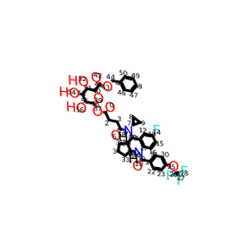 O=C(CCC(=O)N(C1CC1)[C@H]1c2cc(F)ccc2N(C(=O)c2ccc(OC(F)(F)F)cc2)[C@H]2CCC[C@H]21)OC1OC(C(=O)OCc2ccccc2)C(O)C(O)C1O